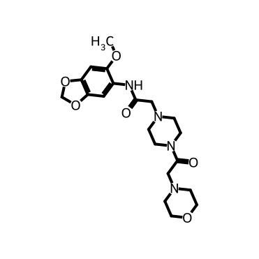 COc1cc2c(cc1NC(=O)CN1CCN(C(=O)CN3CCOCC3)CC1)OCO2